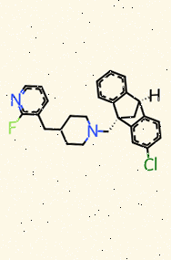 Fc1ncccc1CC1CCN(C[C@@]23C[C@@H](c4ccccc42)c2ccc(Cl)cc23)CC1